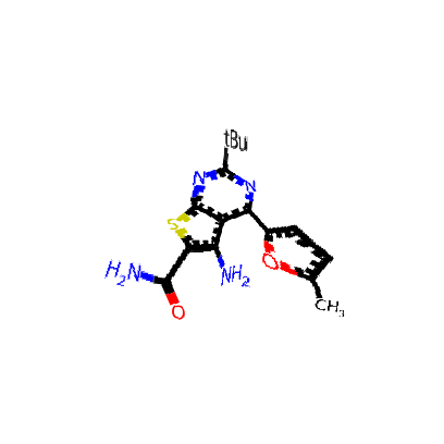 Cc1ccc(-c2nc(C(C)(C)C)nc3sc(C(N)=O)c(N)c23)o1